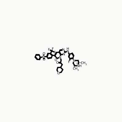 C[C@@H]1CN(c2ccc(Nc3ncc4cc(-c5ccc(S(=O)(=O)c6ccccc6)cc5C(F)(F)F)c(=O)n(CC(=O)CC5CCOCC5)c4n3)cc2F)C[C@H](C)N1